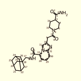 NC(=O)C1CCN(C(=O)Cc2cn3c(C(=O)NCC45CC6CC(CC(C6)C4)C5)cccc3n2)CC1